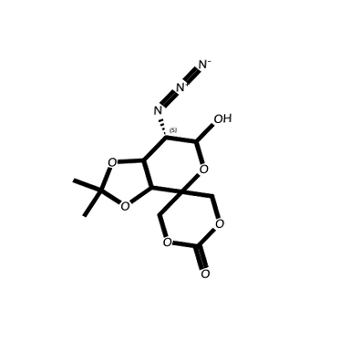 CC1(C)OC2C(O1)C1(COC(=O)OC1)OC(O)[C@H]2N=[N+]=[N-]